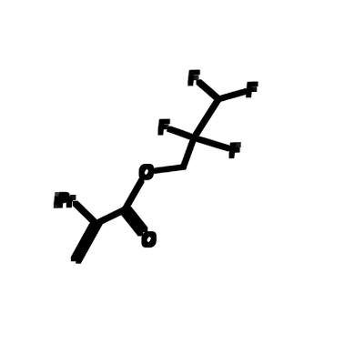 C=C(C(=O)OCC(F)(F)C(F)F)C(C)C